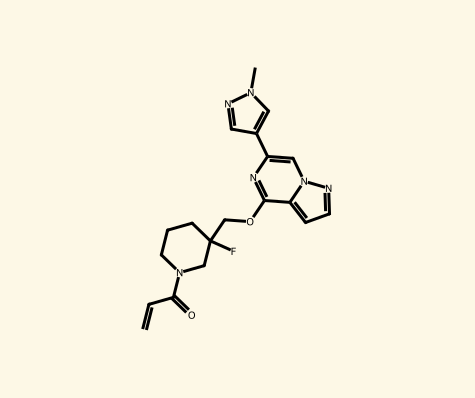 C=CC(=O)N1CCCC(F)(COc2nc(-c3cnn(C)c3)cn3nccc23)C1